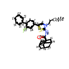 COCCn1cc(-c2ccc(-c3ccccc3)c(F)c2)s/c1=N\C(=O)C12CC3CC(CC(C3)C1)C2